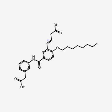 CCCCCCCCOc1ccc(C(=O)Nc2cccc(CC(=O)O)c2)nc1/C=C/CC(=O)O